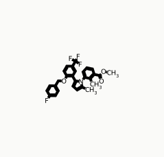 COC(=O)c1cccc(-n2c(C)ccc2-c2cc(C(F)(F)F)ccc2OCc2ccc(F)cc2)c1C